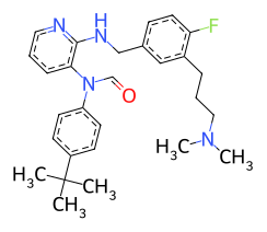 CN(C)CCCc1cc(CNc2ncccc2N(C=O)c2ccc(C(C)(C)C)cc2)ccc1F